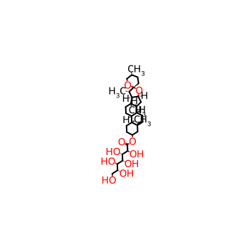 C[C@@H]1CC[C@@]2(OC1)O[C@H]1C[C@H]3[C@@H]4CC=C5C[C@@H](OC(=O)[C@@H](O)[C@@H](O)[C@H](O)[C@H](O)[C@H](O)CO)CC[C@]5(C)[C@H]4CC[C@]3(C)[C@H]1[C@@H]2C